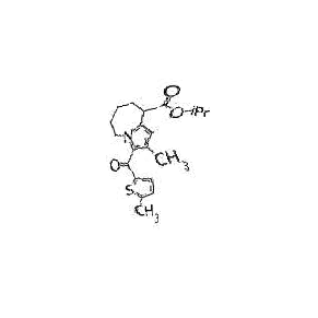 Cc1ccc(C(=O)c2c(C)cc3n2CCCCC3C(=O)OC(C)C)s1